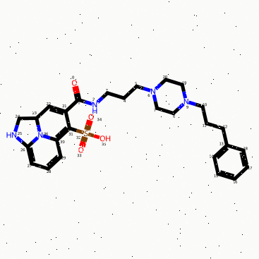 O=C(NCCCN1CCN(CCCc2ccccc2)CC1)C1=CC2CNC3=CC=CC(=C1S(=O)(=O)O)N32